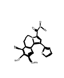 CCN(C(=O)c1cc(-c2cccs2)c2n1CCc1c-2cc(OC)c(OC)c1Br)C(C)C